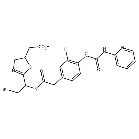 CC(C)CC(NC(=O)Cc1ccc(NC(=O)Nc2ccccn2)c(F)c1)C1=NCC(CC(=O)O)S1